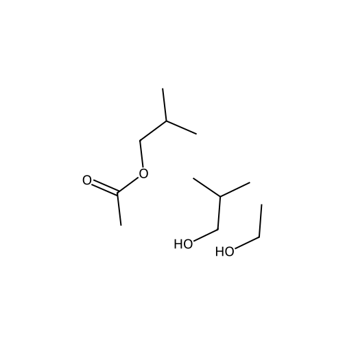 CC(=O)OCC(C)C.CC(C)CO.CCO